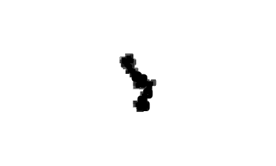 CC(CCOCCOC(=O)C(C)C)CCC(C)C(=O)COCCCCCN(C)C(C)C